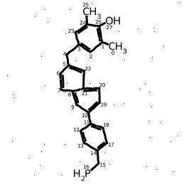 Cc1cc(Cc2ccc3cc(-c4ccc(CP)cc4)ccc3c2)cc(C)c1O